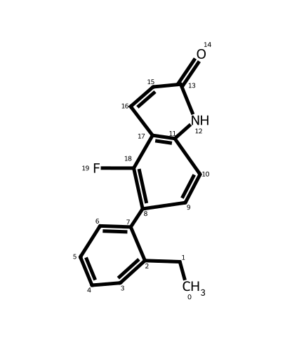 CCc1ccccc1-c1ccc2[nH]c(=O)ccc2c1F